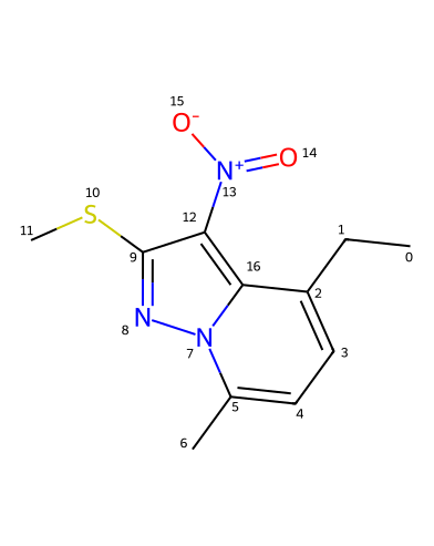 CCc1ccc(C)n2nc(SC)c([N+](=O)[O-])c12